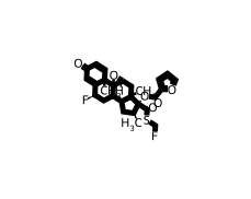 C[C@@H]1CC2C3C[C@H](F)C4=CC(=O)C=C[C@]4(C)[C@@]34O[C@H]4C[C@]2(C)[C@@]1(OC(=O)c1ccco1)C(=O)SCF